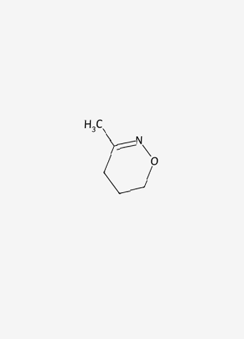 CC1=NOCCC1